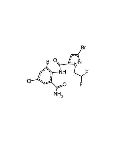 NC(=O)c1cc(Cl)cc(Br)c1NC(=O)c1cc(Br)nn1CC(F)F